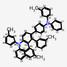 Cc1cccc(-c2c(-c3ccc(N(c4ccccc4)c4cccc(C)c4)cc3)ccc(N(c3ccccc3)c3cccc(C)c3)c2-c2cccc(C)c2)c1